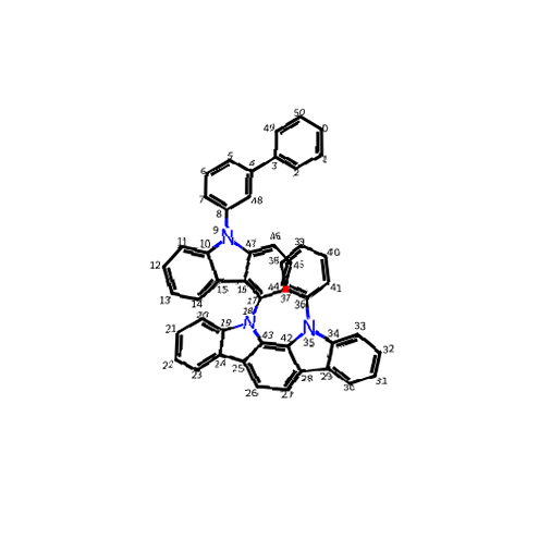 c1ccc(-c2cccc(-n3c4ccccc4c4c(-n5c6ccccc6c6ccc7c8ccccc8n(-c8ccccc8)c7c65)cccc43)c2)cc1